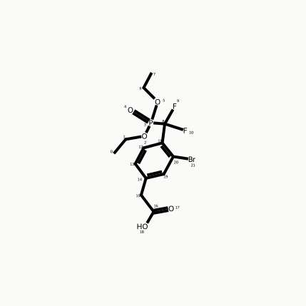 CCOP(=O)(OCC)C(F)(F)c1ccc(CC(=O)O)cc1Br